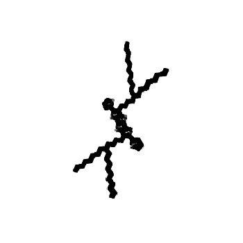 CCCCCCCCCCC(CCCCCCCC)CCCCc1c(-c2cccs2)sc2c1sc1c3sc(-c4cccs4)c(CCCCC(CCCCCCCC)CCCCCCCCCC)c3sc21